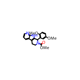 COC(=O)N1CCc2c([nH]c3ncccc23)C1c1cc(OC)ccc1OC